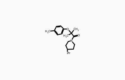 Cc1ccc(OC(C)(C)C(=O)N2CCC(C(C)C)CC2)cc1